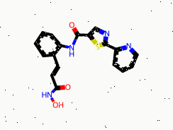 O=C(C=Cc1ccccc1NC(=O)c1cnc(-c2ccccn2)s1)NO